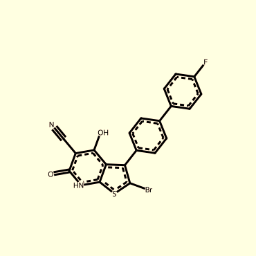 N#Cc1c(O)c2c(-c3ccc(-c4ccc(F)cc4)cc3)c(Br)sc2[nH]c1=O